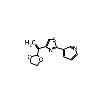 C=C(c1csc(-c2cccnc2)n1)C1OCCO1